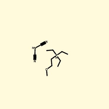 CC[PH](CC)(CC)CCOC.N#CNC#N